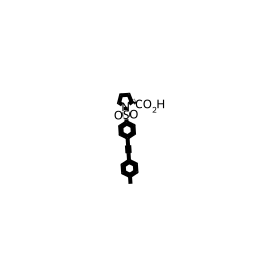 Cc1ccc(C#Cc2ccc(S(=O)(=O)N3CCC[C@H]3C(=O)O)cc2)cc1